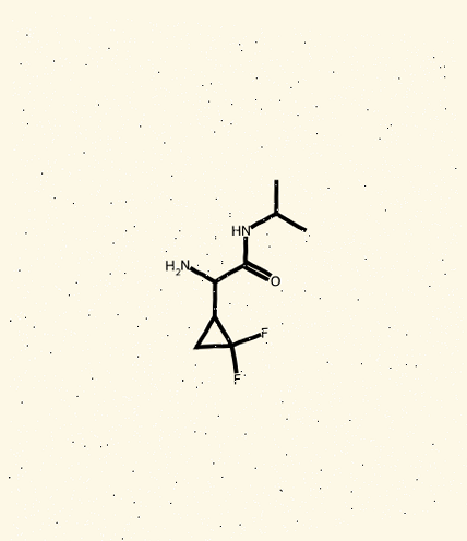 CC(C)NC(=O)C(N)C1CC1(F)F